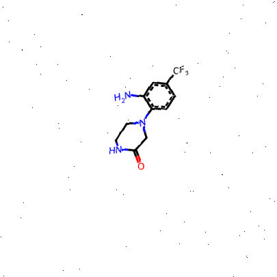 Nc1cc(C(F)(F)F)ccc1N1CCNC(=O)C1